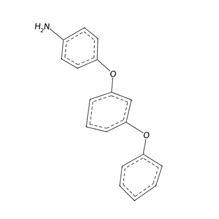 Nc1ccc(Oc2cccc(Oc3ccccc3)c2)cc1